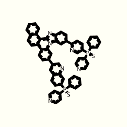 S=P(c1ccccc1)(c1ccncc1)c1ccc(-c2ccc3nc4c5c6ccccc6ccc5c5ccc(-c6cnc7cc(P(=S)(c8ccccc8)c8ccncc8)ccc7c6)cc5n4c3c2)nc1